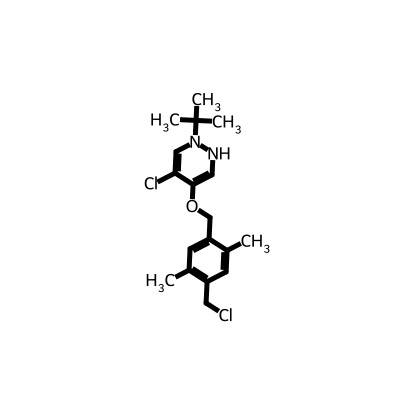 Cc1cc(COC2=CNN(C(C)(C)C)C=C2Cl)c(C)cc1CCl